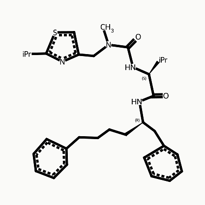 CC(C)c1nc(CN(C)C(=O)N[C@H](C(=O)N[C@H](CCCCc2ccccc2)Cc2ccccc2)C(C)C)cs1